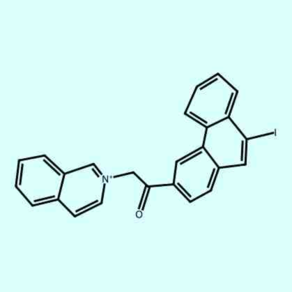 O=C(C[n+]1ccc2ccccc2c1)c1ccc2cc(I)c3ccccc3c2c1